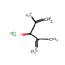 C=C(C)C(=O)C(=C)C.Cl